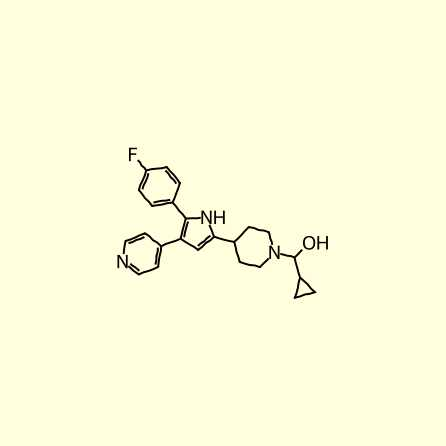 OC(C1CC1)N1CCC(c2cc(-c3ccncc3)c(-c3ccc(F)cc3)[nH]2)CC1